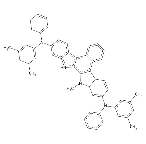 CC1=CC(N(C2=CC=CCC2)c2ccc3c(c2)[nH]c2c4c(c5ccccc5c23)C2C=CC(N(c3ccccc3)c3cc(C)cc(C)c3)=CC2N4C)=CC(C)C1